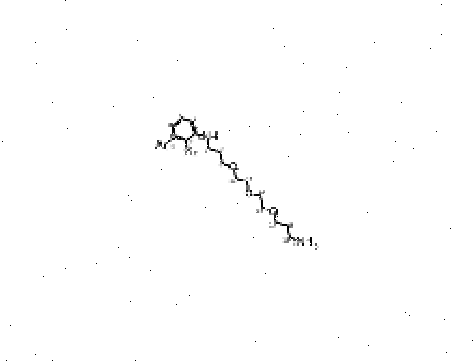 CC(=O)c1cccc(NCCCOCCOCCOCCCN)c1C(C)=O